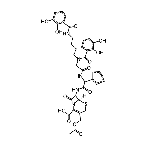 CC(=O)OCC1=C(C(=O)O)N2C(=O)[C@@H](NC(=O)C(NC(=O)CN(CCCCNC(=O)c3cccc(O)c3O)C(=O)c3cccc(O)c3O)c3ccccc3)[C@H]2SC1